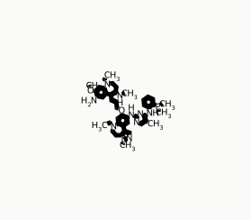 CCN1CCC(NC)=C(/C=C/COc2cc3c(cc2Nc2ncc(C)c(Nc4ccccc4P(C)C)n2)-c2cnn(C)c2CCN3CC)c2cc(N)c(OC)cc21